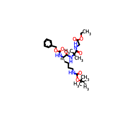 CCOC(=O)CNC(=O)C(C)(C)NC(=O)[C@H](CCCCNC(=O)OC(C)(C)C)NC(=O)OCc1ccccc1